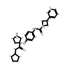 O=C(Nc1ccc(O[C@]2(C(=O)CC3CCCC3)CCNC2)cc1)N1CC(c2cccnc2)C1